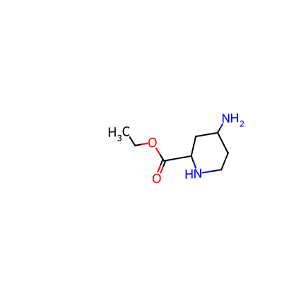 CCOC(=O)C1CC(N)CCN1